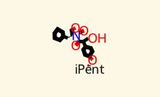 CCCC(C)COc1ccc(C(CO)C(=O)N2C(=O)OC[C@H]2Cc2ccccc2)cc1